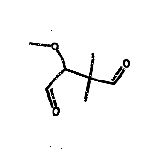 COC(C=O)C(C)(C)C=O